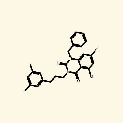 Cc1cc(C)cc(CCCn2c(=O)c3c(Cl)cc(Cl)cc3n(Cc3ccccc3)c2=O)c1